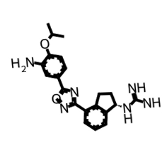 CC(C)Oc1ccc(-c2nc(-c3cccc4c3CC[C@@H]4NC(=N)N)no2)cc1N